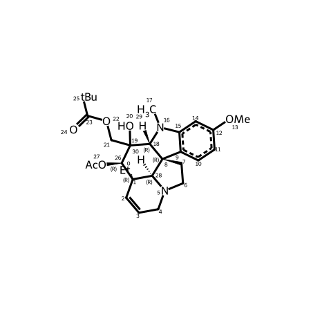 CC[C@]12C=CCN3CC[C@@]4(c5ccc(OC)cc5N(C)[C@H]4C(O)(COC(=O)C(C)(C)C)[C@@H]1OC(C)=O)[C@@H]32